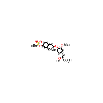 CCCCOc1cc(C=C(OCC)C(=O)O)ccc1OCCc1ccc(OS(=O)(=O)CCCC)cc1OC